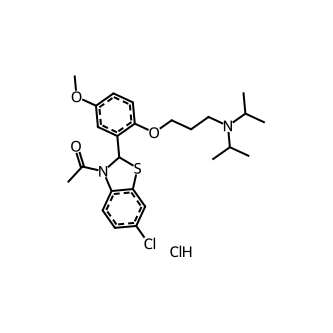 COc1ccc(OCCCN(C(C)C)C(C)C)c(C2Sc3cc(Cl)ccc3N2C(C)=O)c1.Cl